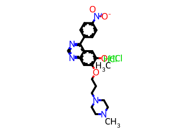 COc1cc2c(-c3ccc([N+](=O)[O-])cc3)ncnc2cc1OCCCN1CCN(C)CC1.Cl.Cl